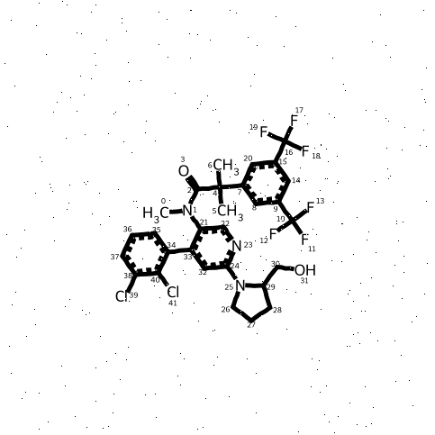 CN(C(=O)C(C)(C)c1cc(C(F)(F)F)cc(C(F)(F)F)c1)c1cnc(N2CCCC2CO)cc1-c1cccc(Cl)c1Cl